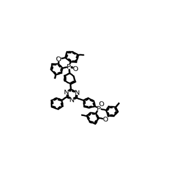 Cc1ccc2c(c1)P(=O)(c1ccc(-c3nc(C4=CCC(P5(=O)c6cc(C)ccc6Oc6ccc(C)cc65)C=C4)nc(-c4ccccc4)n3)cc1)c1cc(C)ccc1O2